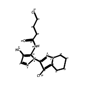 N#Cc1cnn(-c2nn3c(c2Cl)CCCC3)c1NC(=O)CCCCl